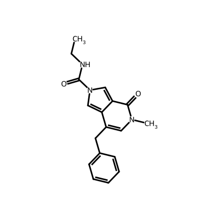 CCNC(=O)n1cc2c(Cc3ccccc3)cn(C)c(=O)c2c1